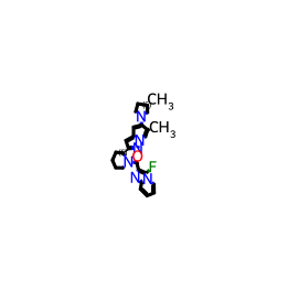 Cc1cn2nc([C@@H]3CCCCN3C(=O)c3nc4ccccn4c3F)cc2cc1N1CC[C@H](C)C1